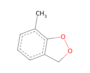 Cc1cccc2c1OOC2